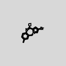 Cc1ccc2c(c1)Cn1cc(Br)cc1C(Cl)=N2